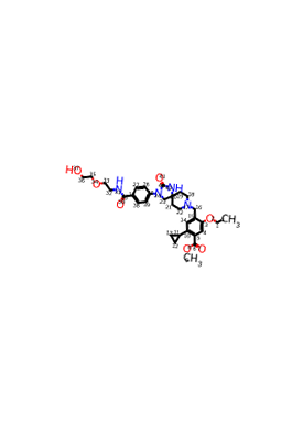 CCOc1cc(C(=O)OC)c(C2CC2)cc1CN1CCC2(CC1)CN(c1ccc(C(=O)NCCOCCO)cc1)C(=O)N2